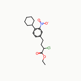 CCOC(=O)C(Cl)CCc1ccc(C2CCCCC2)c([N+](=O)[O-])c1